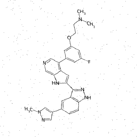 CN(C)CCOc1cc(F)cc(-c2cncc3[nH]c(-c4n[nH]c5ccc(-c6cnn(C)c6)cc45)cc23)c1